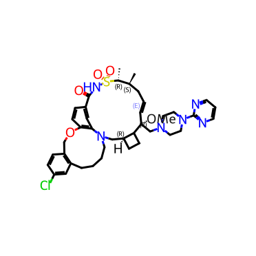 CO[C@@]1(CN2CCN(c3ncccn3)CC2)/C=C/C[C@H](C)[C@@H](C)S(=O)(=O)NC(=O)c2ccc3c(c2)N(CCCCc2cc(Cl)ccc2CO3)C[C@@H]2CCC21